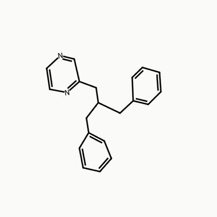 c1ccc(CC(Cc2ccccc2)Cc2cnccn2)cc1